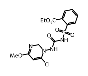 CCOC(=O)c1ccccc1S(=O)(=O)NC(=O)NN1CN=C(OC)C=C1Cl